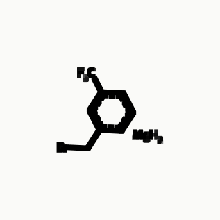 FC(F)(F)c1cccc(CBr)c1.[MgH2]